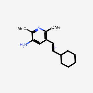 COc1nc(OC)c(/C=C/C2CCCCC2)cc1N